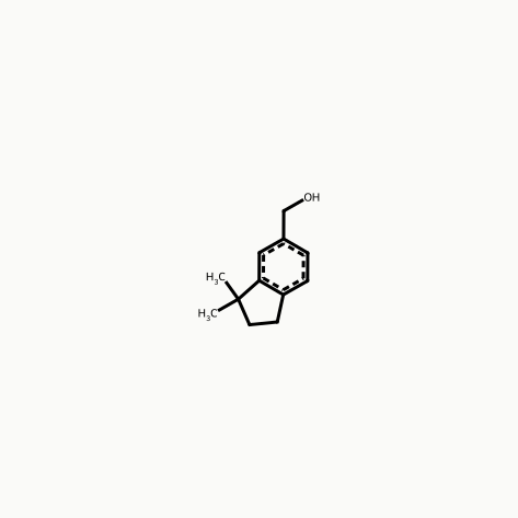 CC1(C)CCc2ccc(CO)cc21